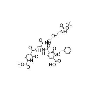 Cn1c(C(=O)O)ccc(C(=O)NCC(NC(=O)c2ccc(C(=O)O)n(OCc3ccccc3)c2=O)C(=O)NCCOCCNC(=O)OC(C)(C)C)c1=O